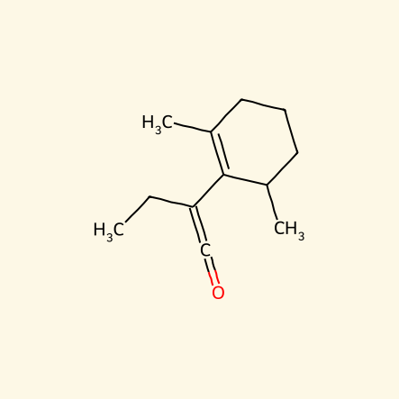 CCC(=C=O)C1=C(C)CCCC1C